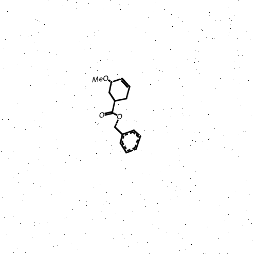 COC1C=CCC(C(=O)OCc2ccccc2)C1